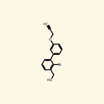 C#CCOc1cccc(-c2cccc(CO)c2Br)c1